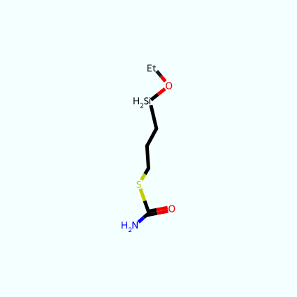 CCO[SiH2]CCCSC(N)=O